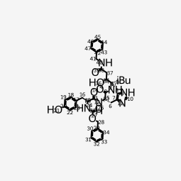 CCC(C)[C@H](NC(=O)[C@H](Cc1c[nH]cn1)NC(=O)[C@H](Cc1ccc(O)cc1)NC(=O)OCc1ccccc1)[C@@H](O)CC(=O)NCc1ccccc1